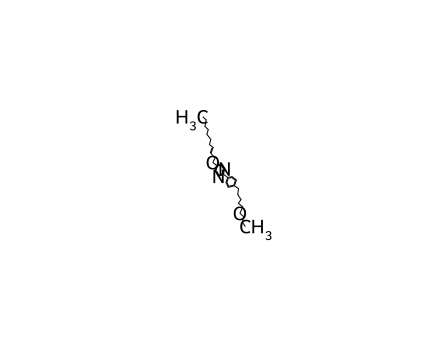 CCCCCCCC=CCOc1cnc(-c2ccc(CCCCCOCCC)cc2)nc1